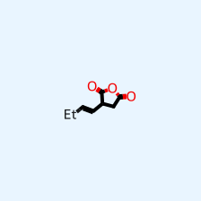 CCC=CC1CC(=O)OC1=O